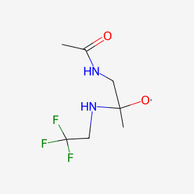 CC(=O)NCC(C)([O])NCC(F)(F)F